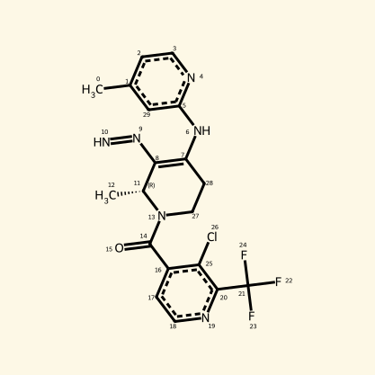 Cc1ccnc(NC2=C(N=N)[C@@H](C)N(C(=O)c3ccnc(C(F)(F)F)c3Cl)CC2)c1